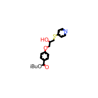 CC(C)COC(=O)c1ccc(OCC(O)CSc2ccncc2)cc1